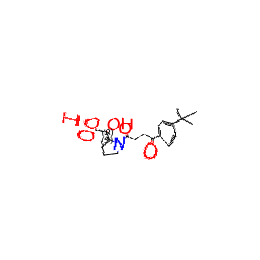 CC(C)(C)c1ccc(C(=O)CCC(=O)N2CCC[C@H]2[C@@H](O)C(=O)O)cc1